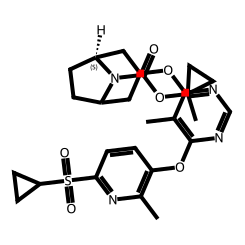 Cc1nc(S(=O)(=O)C2CC2)ccc1Oc1ncnc(OC2CC3CC[C@@H](C2)N3C(=O)OC2(C)CC2)c1C